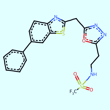 O=S(=O)(NCCc1nnc(Cc2nc3ccc(-c4ccccc4)cc3s2)o1)C(F)(F)F